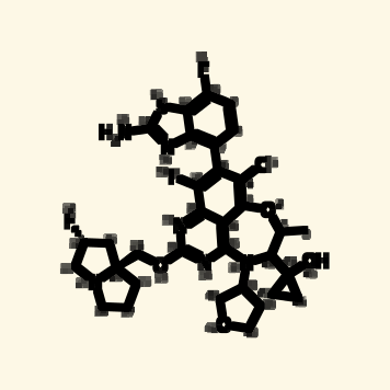 CC1Oc2c(Cl)c(-c3ccc(F)c4sc(N)nc34)c(F)c3nc(OC[C@@]45CCCN4C[C@H](F)C5)nc(c23)N(C2CCOC2)C1C1(O)CC1